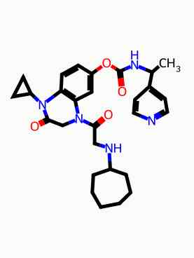 CC(NC(=O)Oc1ccc2c(c1)N(C(=O)CNC1CCCCCC1)CC(=O)N2C1CC1)c1ccncc1